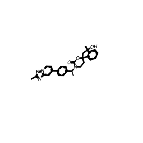 Cc1nc2cc(-c3ccc([C@H](C)N4CCC(CC(C)(C)O)(c5ccccc5)OC4=O)cc3)ccn2n1